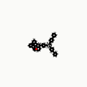 c1ccc(-c2ccc(-c3nc(-c4ccc(-c5ccccc5)cc4)nc(-c4ccc(-c5nc6c(c7ccccc57)C5(c7ccccc7-c7ccccc75)c5ccccc5-6)cc4)n3)cc2)cc1